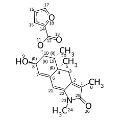 CC1=C2C[C@@]3(C)C(=C[C@@H](O)[C@H](OC(=O)c4ccco4)[C@@H]3C)C=C2N(C)C1=O